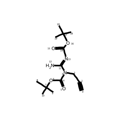 C#CCN(C(=O)OC(C)(C)C)C(N)=NC(=O)OC(C)(C)C